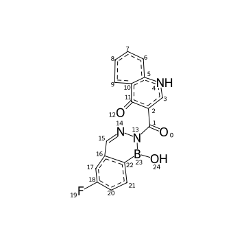 O=C(c1c[nH]c2ccccc2c1=O)N1N=Cc2cc(F)ccc2B1O